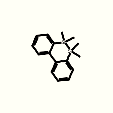 C[Si]1(C)c2ccccc2-c2ccccc2[Si]1(C)C